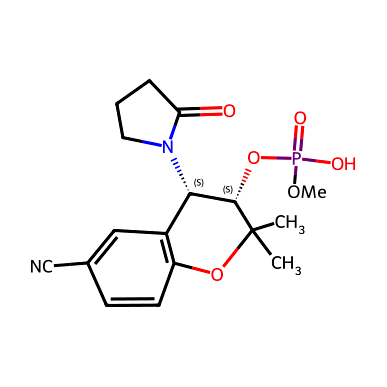 COP(=O)(O)O[C@H]1[C@@H](N2CCCC2=O)c2cc(C#N)ccc2OC1(C)C